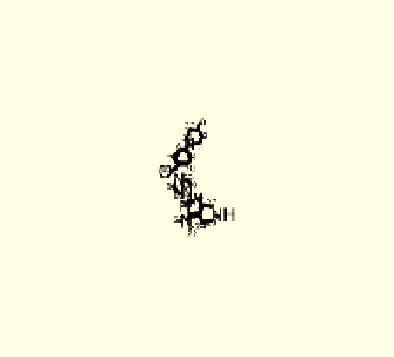 CC1CCN(c2ccc(C(=O)N3CCN(c4nc5c(c(N(C)C)n4)CCNC5)CC3)cc2)CC1